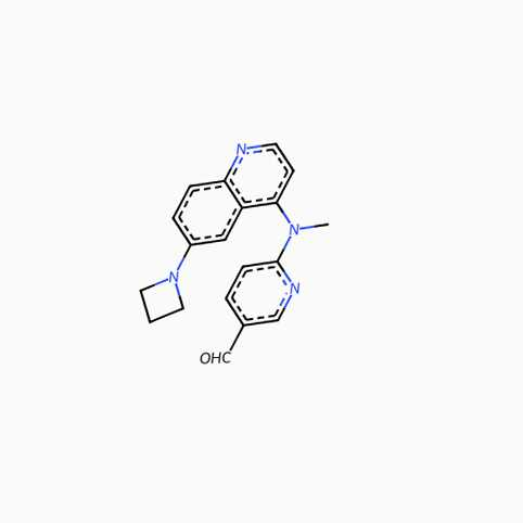 CN(c1ccc(C=O)cn1)c1ccnc2ccc(N3CCC3)cc12